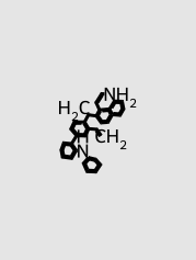 C=Cc1cc(-c2ccccc2Nc2ccccc2)ccc1C(=C)c1ccc2ccccc2c1/C=C\N